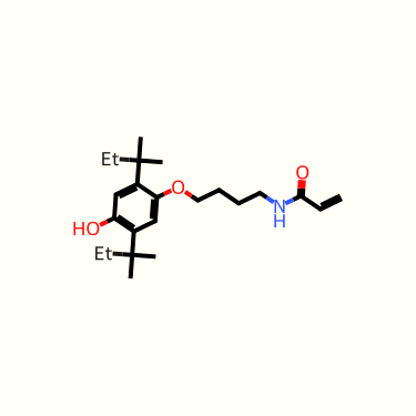 C=CC(=O)NCCCCOc1cc(C(C)(C)CC)c(O)cc1C(C)(C)CC